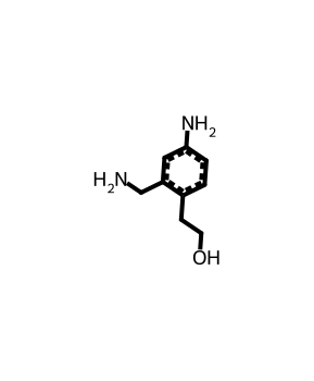 NCc1cc(N)ccc1CCO